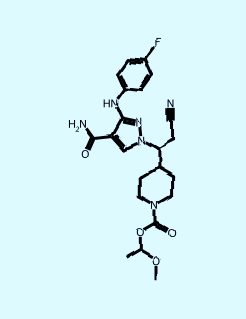 COC(C)OC(=O)N1CCC([C@H](CC#N)n2cc(C(N)=O)c(Nc3ccc(F)cc3)n2)CC1